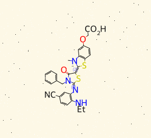 CCNc1ccc(C#N)cc1/N=C1/S/C(=C2\Sc3ccc(OCC(=O)O)cc3N2C)C(=O)N1Cc1ccccc1